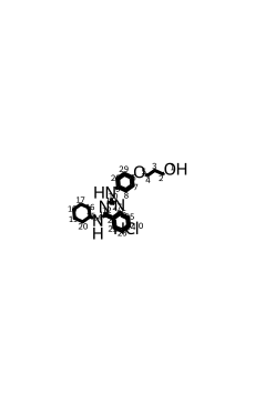 Cl.OCCCOc1ccc(Nc2nc(NC3CCCCC3)c3ccccc3n2)cc1